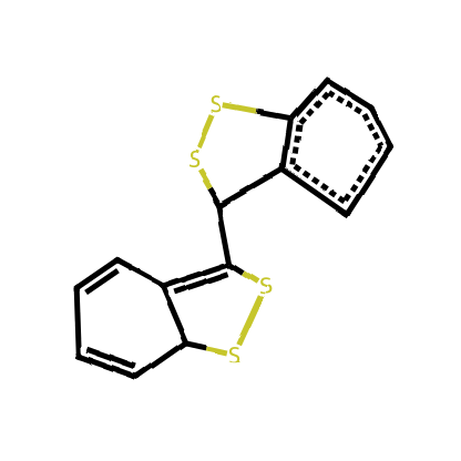 C1=CC2=C(C3SSc4ccccc43)SSC2C=C1